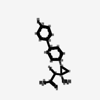 NC(=O)C(F)[C@]1(C(=O)O)C[C@H]1c1ccc(-c2ccc(F)cc2)nc1